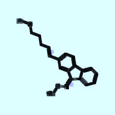 CC(C)OCCC/C=C/c1ccc2c(c1)/C(=N\OC(C)(C)C)c1ccccc1-2